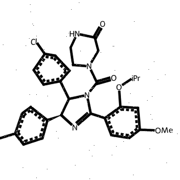 COc1ccc(C2=N[C@@H](c3ccc(Cl)cc3)C(c3ccc(Cl)cc3)N2C(=O)N2CCNC(=O)C2)c(OC(C)C)c1